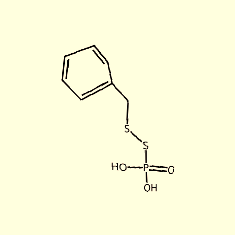 O=P(O)(O)SSCc1ccccc1